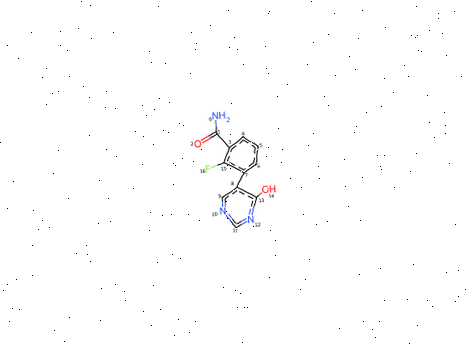 NC(=O)c1cccc(-c2cncnc2O)c1F